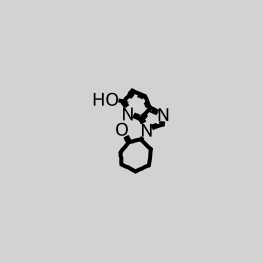 O=C1CCCCCC1n1cnc2ccc(O)nc21